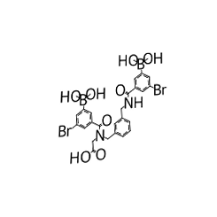 O=C(O)CN(Cc1cccc(CNC(=O)c2cc(Br)cc(B(O)O)c2)c1)C(=O)c1cc(Br)cc(B(O)O)c1